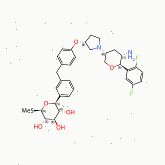 CS[C@H]1O[C@@H](c2cccc(Cc3ccc(O[C@@H]4CCN([C@H]5CO[C@H](c6cc(F)ccc6F)[C@@H](N)C5)C4)cc3)c2)[C@H](O)[C@@H](O)[C@@H]1O